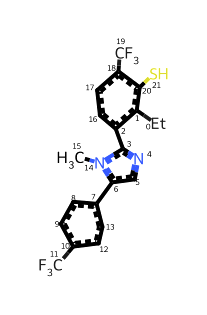 CCc1c(-c2ncc(-c3ccc(C(F)(F)F)cc3)n2C)ccc(C(F)(F)F)c1S